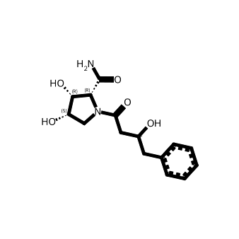 NC(=O)[C@H]1[C@@H](O)[C@@H](O)CN1C(=O)C[C](O)Cc1ccccc1